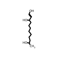 CC(O)CCCCCCCC(O)C=CO